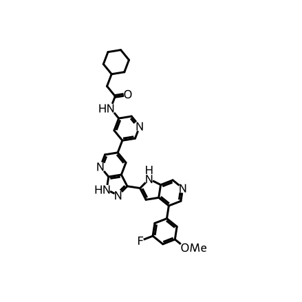 COc1cc(F)cc(-c2cncc3[nH]c(-c4n[nH]c5ncc(-c6cncc(NC(=O)CC7CCCCC7)c6)cc45)cc23)c1